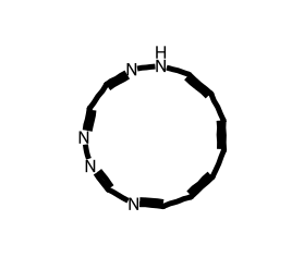 C1=CC=CNN=CC=NN=CN=CC=C1